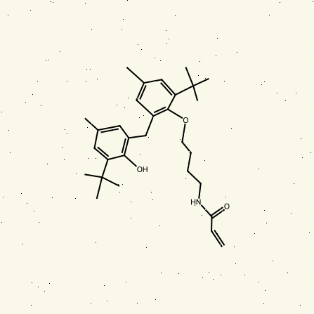 C=CC(=O)NCCCCOc1c(Cc2cc(C)cc(C(C)(C)C)c2O)cc(C)cc1C(C)(C)C